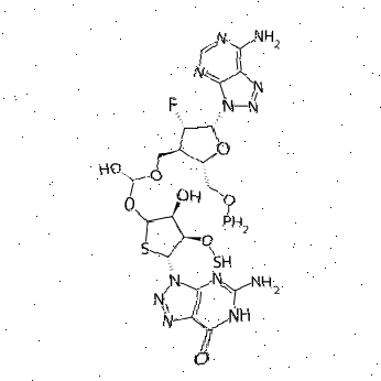 Nc1nc2c(nnn2[C@@H]2SC(OC(O)OC[C@H]3[C@H](F)[C@H](n4nnc5c(N)ncnc54)O[C@@H]3COP)[C@@H](O)[C@H]2OS)c(=O)[nH]1